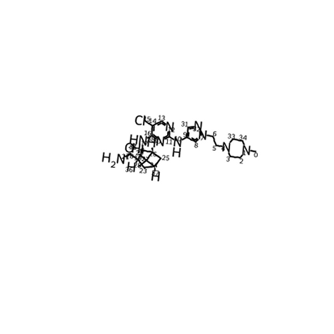 CN1CCN(CCn2cc(Nc3ncc(Cl)c(N[C@H]4[C@@H](C(N)=O)C[C@H]5C[C@@H]4C5(C)C)n3)cn2)CC1